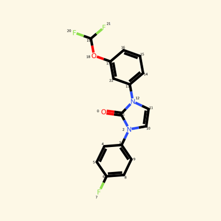 O=c1n(-c2ccc(F)cc2)ccn1-c1cccc(OC(F)F)c1